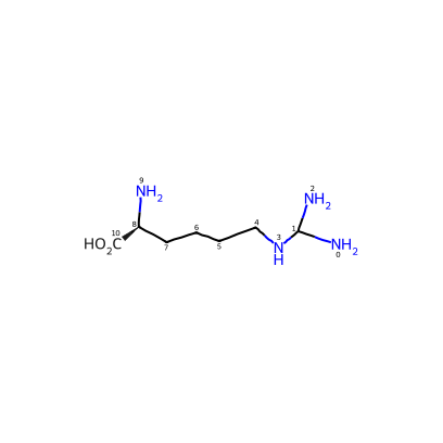 NC(N)NCCCC[C@H](N)C(=O)O